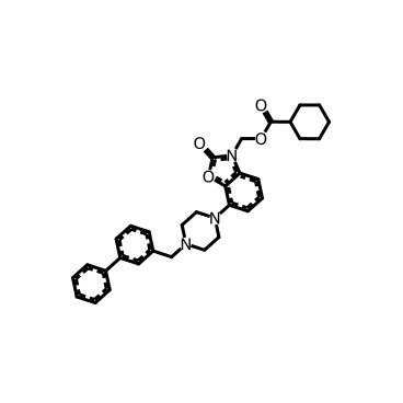 O=C(OCn1c(=O)oc2c(N3CCN(Cc4cccc(-c5ccccc5)c4)CC3)cccc21)C1CCCCC1